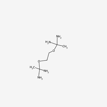 CC(N)(N)OCCOC(C)(N)N